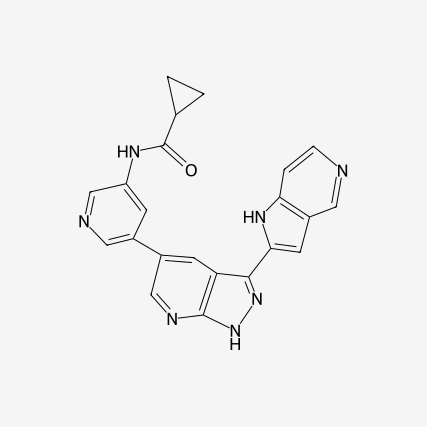 O=C(Nc1cncc(-c2cnc3[nH]nc(-c4cc5cnccc5[nH]4)c3c2)c1)C1CC1